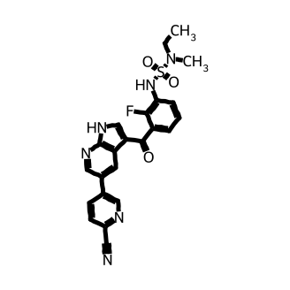 CCN(C)S(=O)(=O)Nc1cccc(C(=O)c2c[nH]c3ncc(-c4ccc(C#N)nc4)cc23)c1F